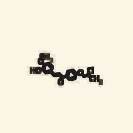 C=C(Cl)COc1ccc(C(=O)C=Cc2ccc(OC)c(O)c2)cc1